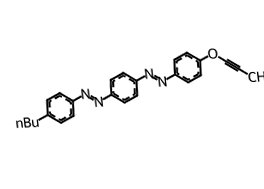 CC#COc1ccc(N=Nc2ccc(N=Nc3ccc(CCCC)cc3)cc2)cc1